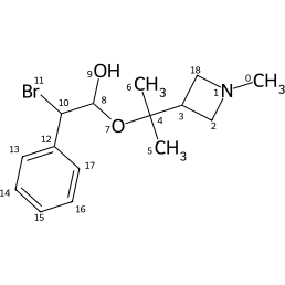 CN1CC(C(C)(C)OC(O)C(Br)c2ccccc2)C1